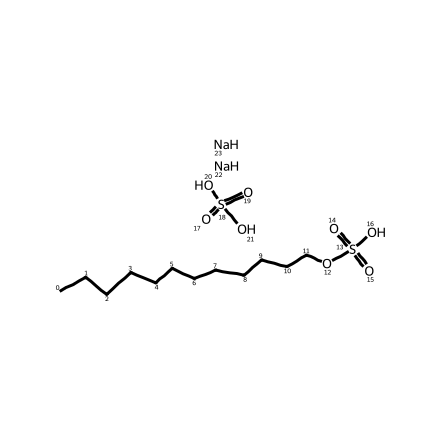 CCCCCCCCCCCCOS(=O)(=O)O.O=S(=O)(O)O.[NaH].[NaH]